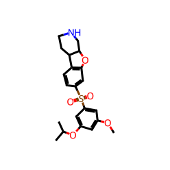 COc1cc(OC(C)C)cc(S(=O)(=O)c2ccc3c(c2)OC2CNCCC32)c1